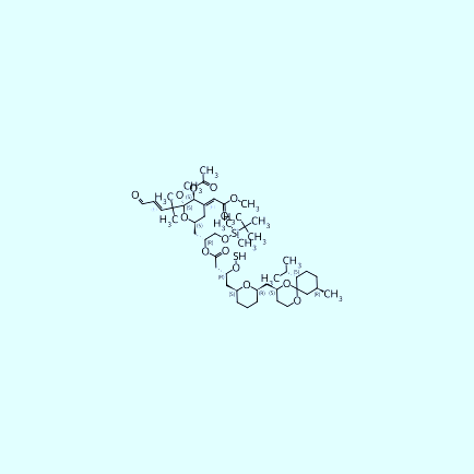 COC(=O)/C=C1\C[C@@H](C[C@H](CO[Si](C)(C)C(C)(C)C)OC(=O)C[C@@H](C[C@@H]2CCC[C@H](C[C@@H]3CCOC4(C[C@H](C)CC[C@H]4C(C)C)O3)O2)OS)O[C@@](OC)(C(C)(C)/C=C/C=O)[C@H]1OC(C)=O